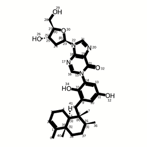 CC1=CCC[C@H]2[C@](C)(Cc3cc(O)cc(-n4cnc5c(ncn5[C@H]5C[C@H](O)[C@@H](CO)O5)c4=O)c3O)[C@@H](C)CC[C@]12C